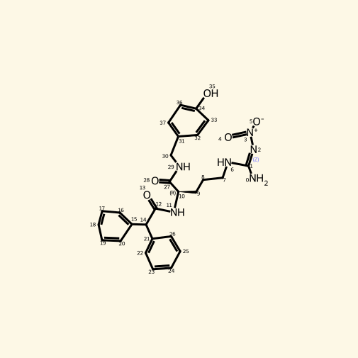 N/C(=N/[N+](=O)[O-])NCCC[C@@H](NC(=O)C(c1ccccc1)c1ccccc1)C(=O)NCc1ccc(O)cc1